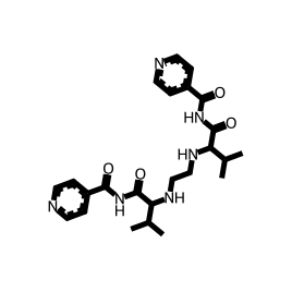 CC(C)C(NCCNC(C(=O)NC(=O)c1ccncc1)C(C)C)C(=O)NC(=O)c1ccncc1